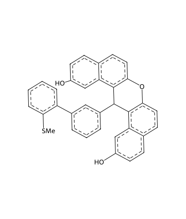 CSc1ccccc1-c1cccc(C2c3c(ccc4ccc(O)cc34)Oc3ccc4ccc(O)cc4c32)c1